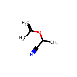 C=C(C)OC(C)C#N